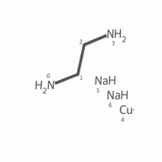 NCCN.[Cu].[NaH].[NaH]